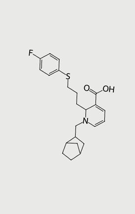 O=C(O)C1=CC=CN(CC2CC3CCC2C3)C1CCCSc1ccc(F)cc1